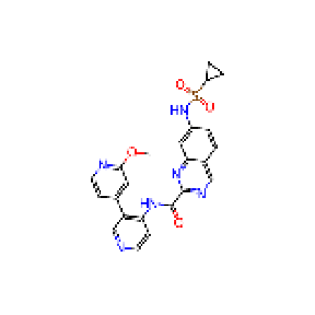 COc1cc(-c2cnccc2NC(=O)c2ncc3ccc(NS(=O)(=O)C4CC4)cc3n2)ccn1